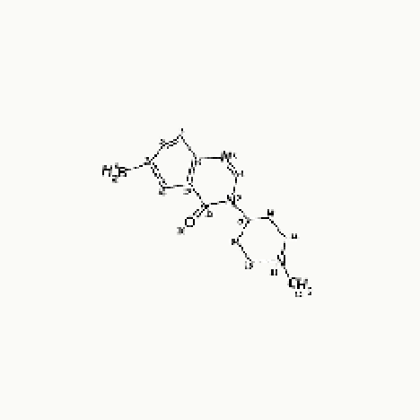 Bc1ccc2ncn(C3CCN(C)CC3)c(=O)c2c1